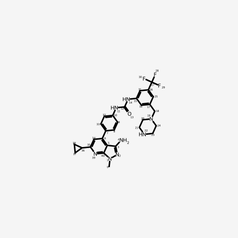 Cn1nc(N)c2c(-c3ccc(NC(=O)Nc4cc(CN5CCNCC5)cc(C(F)(F)F)c4)cc3)cc(C3CC3)nc21